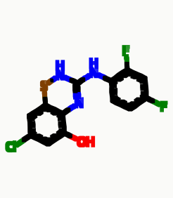 Oc1cc(Cl)cc2c1N=C(Nc1ccc(F)cc1F)NS2